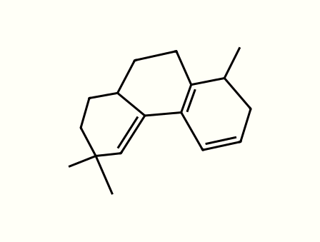 CC1CC=CC2=C1CCC1CCC(C)(C)C=C21